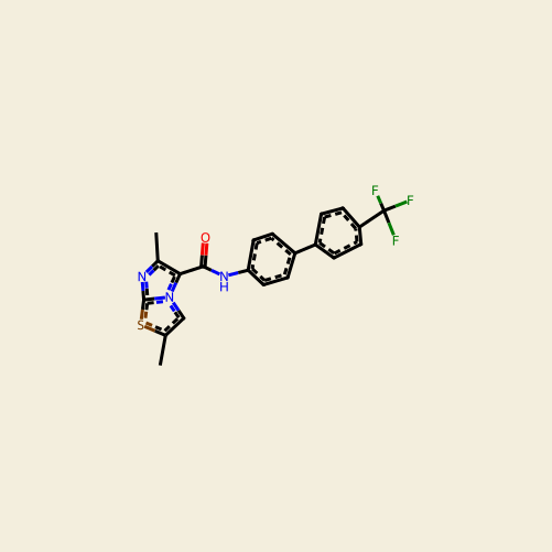 Cc1cn2c(C(=O)Nc3ccc(-c4ccc(C(F)(F)F)cc4)cc3)c(C)nc2s1